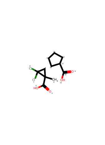 CC1(C(=O)O)CC1(Cl)Cl.O=C(O)C1CCCC1